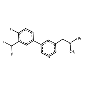 CCCN(C)Cc1cncc(-c2ccc(F)c(C(F)F)c2)c1